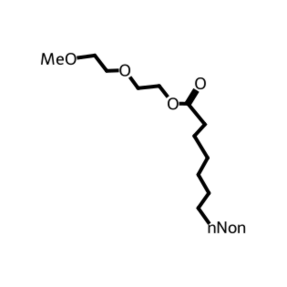 CCCCCCCCCCCCCCCC(=O)OCCOCCOC